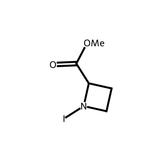 COC(=O)C1CCN1I